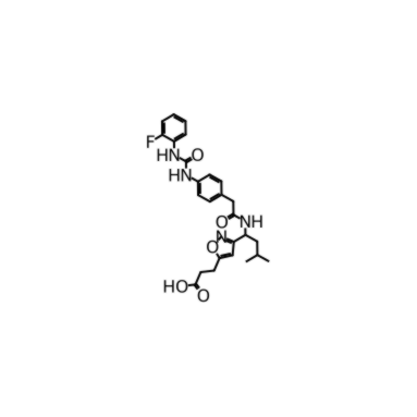 CC(C)CC(NC(=O)Cc1ccc(NC(=O)Nc2ccccc2F)cc1)c1cc(CCC(=O)O)on1